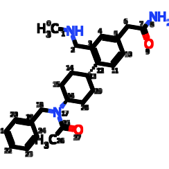 CNCc1cc(CC(N)=O)ccc1[C@H]1CC[C@H](N(Cc2ccccc2)C(C)=O)CC1